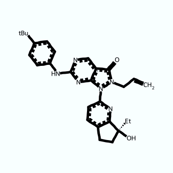 C=CCn1c(=O)c2cnc(Nc3ccc(C(C)(C)C)cc3)nc2n1-c1ccc2c(n1)[C@](O)(CC)CC2